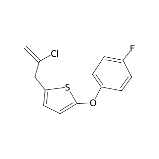 C=C(Cl)Cc1ccc(Oc2ccc(F)cc2)s1